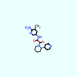 Cc1cc(NC(=O)C(=O)N2CCCC[C@@H]2c2ccncc2)cnc1N